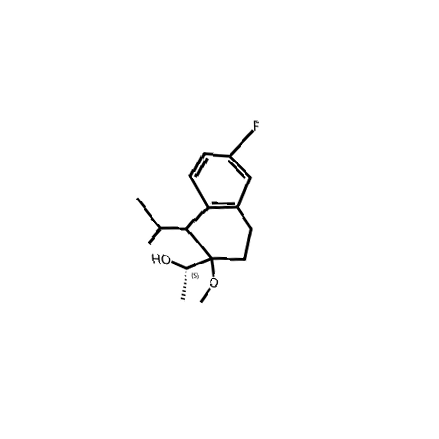 COC1([C@H](C)O)CCc2cc(F)ccc2C1C(C)C